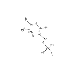 Fc1cc(F)c(SCC(F)(F)F)cc1Br